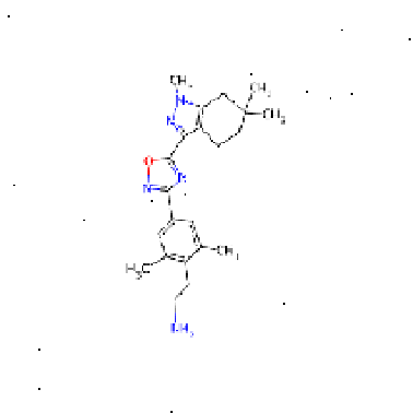 Cc1cc(-c2noc(-c3nn(C)c4c3CCC(C)(C)C4)n2)cc(C)c1CCN